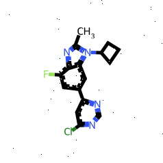 Cc1nc2c(F)cc(-c3cc(Cl)ncn3)cc2n1C1CCC1